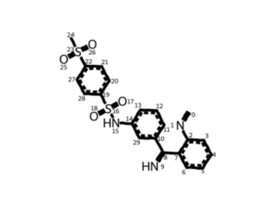 C=Nc1ccccc1C(=N)c1cccc(NS(=O)(=O)c2ccc(S(C)(=O)=O)cc2)c1